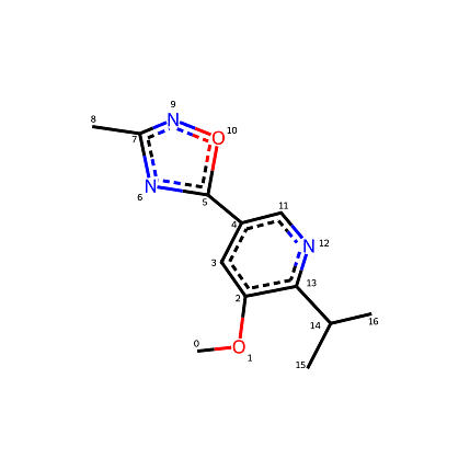 COc1cc(-c2nc(C)no2)cnc1C(C)C